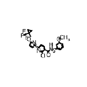 COc1cccc(SNC(=O)c2ccc(-n3ccc(OCC4(C(F)(F)F)CC4)n3)nc2Cl)c1